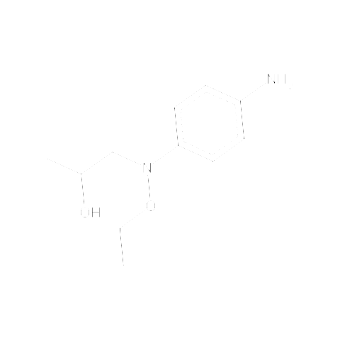 CCON(CC(C)O)c1ccc(N)cc1